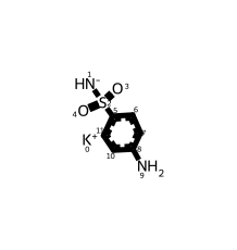 [K+].[NH-]S(=O)(=O)c1ccc(N)cc1